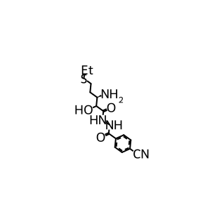 CCSCC[C@@H](N)C(O)C(=O)NNC(=O)c1ccc(C#N)cc1